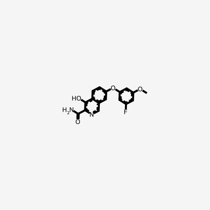 COc1cc(F)cc(Oc2ccc3c(O)c(C(N)=O)ncc3c2)c1